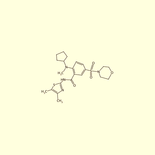 Cc1nc(NC(=O)c2cc(S(=O)(=O)N3CCOCC3)ccc2N(C)C2CCCC2)sc1C